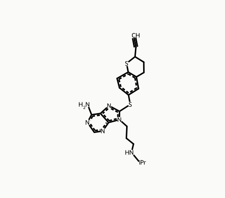 C#CC1CCc2cc(Sc3nc4c(N)ncnc4n3CCCNC(C)C)ccc2S1